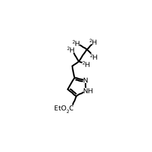 [2H]C([2H])([2H])C([2H])([2H])Cc1cc(C(=O)OCC)[nH]n1